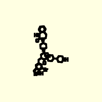 C[N+]1(C(=O)C(CC(=O)N2CCC(N3CCc4ccccc4NC3=O)CC2)Cc2cc(Br)c3[nH]ncc3c2)CCC(C2CCNCC2)CC1